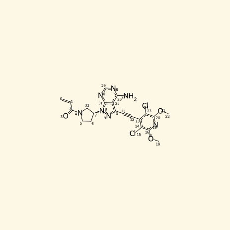 C=CC(=O)N1CC[C@H](n2nc(C#Cc3c(Cl)c(OC)nc(OC)c3Cl)c3c(N)ncnc32)C1